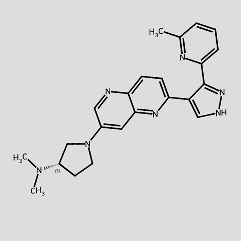 Cc1cccc(-c2n[nH]cc2-c2ccc3ncc(N4CC[C@H](N(C)C)C4)cc3n2)n1